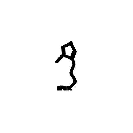 CCCCCCCCC1=[C]CC=C1C